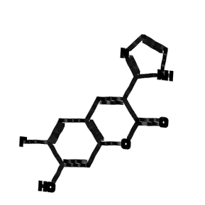 O=c1oc2cc(O)c(F)cc2cc1-c1ncc[nH]1